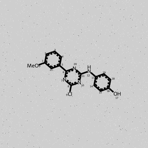 COc1cccc(-c2nc(Cl)nc(Nc3ccc(O)cc3)n2)c1